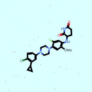 COc1cc(N2CCN(c3ccc(Cl)c(C4CC4)c3)CC2)c(F)cc1NC1CCC(=O)NC1=O